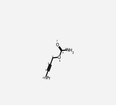 CCCC#CCOC(N)=O